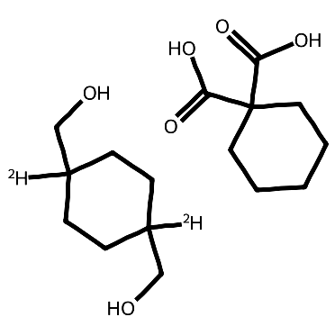 O=C(O)C1(C(=O)O)CCCCC1.[2H]C1(CO)CCC([2H])(CO)CC1